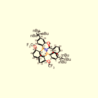 CCCC[Si](CCCC)(CCCC)c1ccc(P(c2ccccc2OC(F)(F)F)N(C(=O)c2ccccc2)P(c2ccc([Si](CCCC)(CCCC)CCCC)cc2)c2ccccc2OC(F)(F)F)cc1